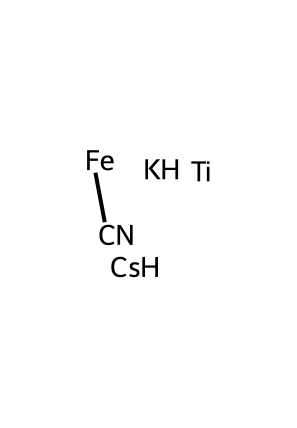 N#[C][Fe].[CsH].[KH].[Ti]